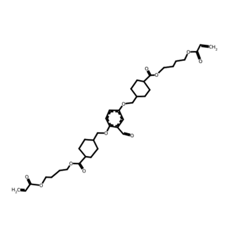 C=CC(=O)OCCCCOC(=O)C1CCC(COc2ccc(OCC3CCC(C(=O)OCCCCOC(=O)C=C)CC3)c(C=O)c2)CC1